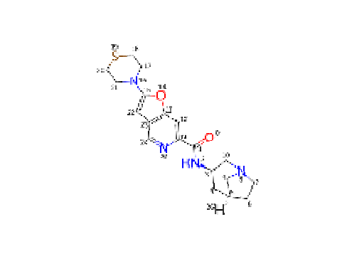 O=C(N[C@@H]1C[C@@H]2CCN(C2)C1)c1cc2oc(N3CCSCC3)cc2cn1